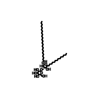 CCCCCCCCCCCCCCCCCCCCCCCCCOCN[C@@H](COC1OC(CO)C(O)C(O)C1O)[C@H](O)[C@H](O)CCCCCCCCCCCCCC